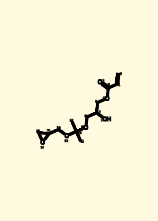 C=CC(=O)OCC(O)COC(C)(C)OCC1CO1